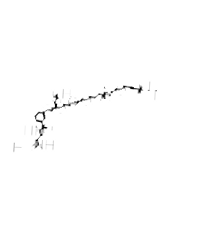 CNCCNC(=O)c1cccc(OCC(OCCOCCOCCCC(=O)NCCOCC#CC(C)C)SSC)c1